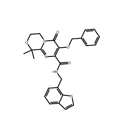 CC1(C)OCCn2c1nc(C(=O)NCc1cccc3ccsc13)c(OCc1ccccc1)c2=O